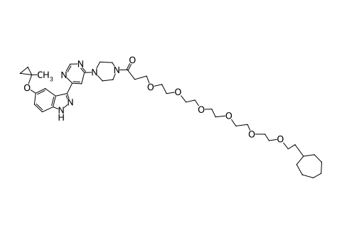 CC1(Oc2ccc3[nH]nc(-c4cc(N5CCN(C(=O)CCOCCOCCOCCOCCOCCOCCC6CCCCCC6)CC5)ncn4)c3c2)CC1